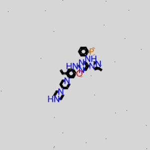 CCc1cc(Nc2ncc(-n3cnc(C)c3)c(Nc3ccccc3P(C)C)n2)c(OC)cc1N1CCC(N2CCNCC2)CC1